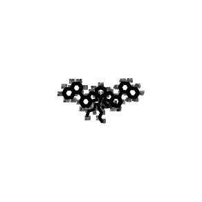 CCC[CH2][Zr]([CH3])(=[SiH2])([CH2]CCC)([c]1ccccc1)([CH]1C=Cc2c(-c3cccc4ccccc34)cccc21)[CH]1C=Cc2c(-c3cccc4ccccc34)cccc21